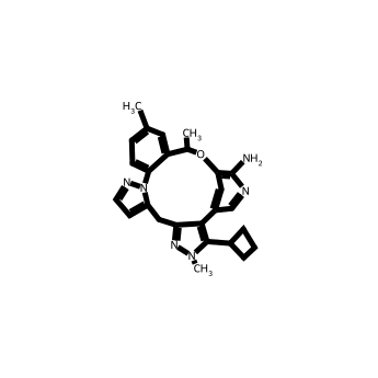 Cc1ccc2c(c1)C(C)Oc1cc(cnc1N)-c1c(nn(C)c1C1CCC1)Cc1ccnn1-2